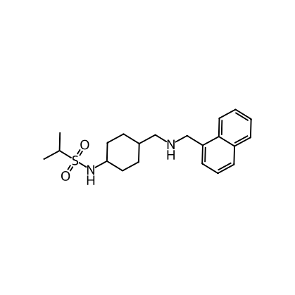 CC(C)S(=O)(=O)NC1CCC(CNCc2cccc3ccccc23)CC1